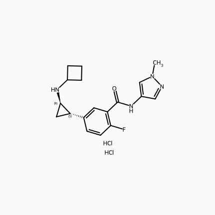 Cl.Cl.Cn1cc(NC(=O)c2cc([C@@H]3C[C@H]3NC3CCC3)ccc2F)cn1